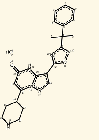 CC(C)(c1ccccc1)c1noc(-c2cnn3c(C4CCNCC4)cc(=O)[nH]c23)n1.Cl